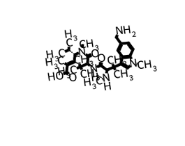 CNC(C(=O)NC(C(=O)N(C)[C@H](/C=C(\C)C(=O)O)C(C)C)C(C)(C)C)C(C)(C)c1cn(C)c2ccc(CN)cc12